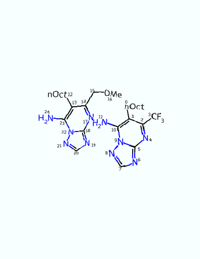 CCCCCCCCc1c(C(F)(F)F)nc2ncnn2c1N.CCCCCCCCc1c(COC)nc2ncnn2c1N